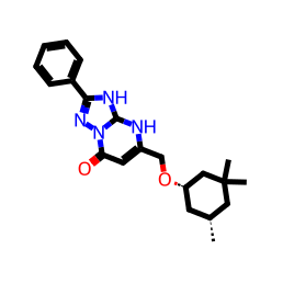 C[C@@H]1C[C@H](OCC2=CC(=O)N3N=C(c4ccccc4)NC3N2)CC(C)(C)C1